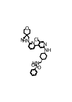 N#CC1(CNc2cccc(-c3cc(N[C@H]4CC[C@H](CNS(=O)(=O)c5ccccc5)CC4)ncc3Cl)n2)CCOCC1